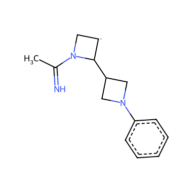 CC(=N)N1C[CH]C1C1CN(c2ccccc2)C1